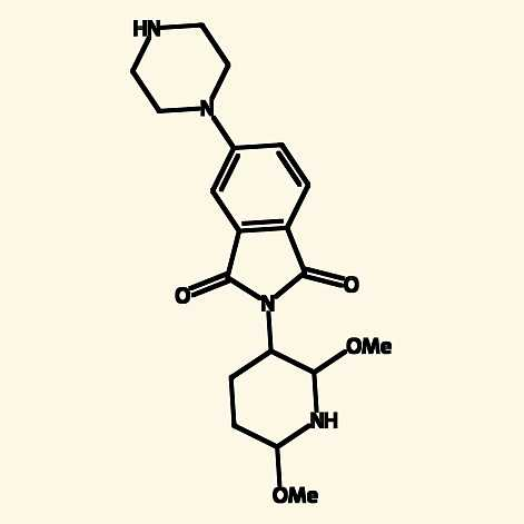 COC1CCC(N2C(=O)c3ccc(N4CCNCC4)cc3C2=O)C(OC)N1